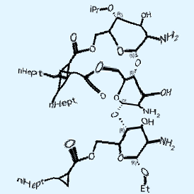 CCCCCCCC1CC1C(=O)OCC1O[C@@H](O[C@H]2C(COC(=O)C3CC3CCCCCCC)O[C@@H](O[C@H]3C(COC(=O)C4CC4CCCCCCC)O[C@@H](OCC)C(N)C3O)C(N)C2O)C(N)C(O)[C@H]1OC(C)C